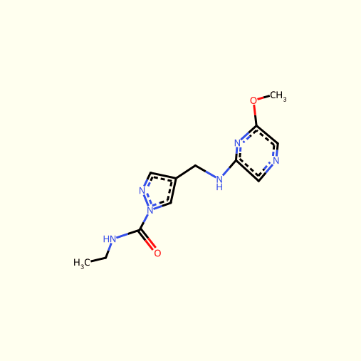 CCNC(=O)n1cc(CNc2cncc(OC)n2)cn1